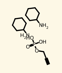 C#CCOP(=O)(O)O.NC1CCCCC1.NC1CCCCC1